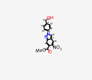 COC(=O)c1cc2nn(-c3ccc(CO)cc3)cc2cc1[N+](=O)[O-]